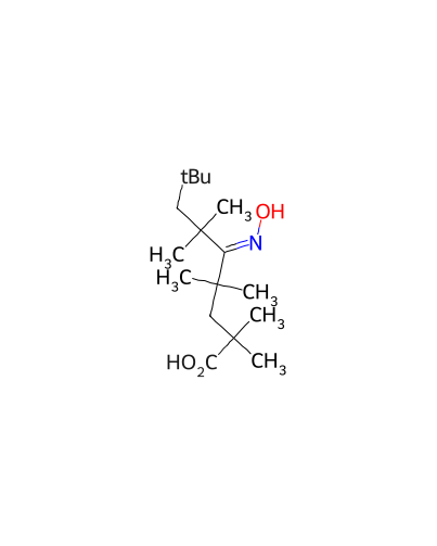 CC(C)(C)CC(C)(C)/C(=N\O)C(C)(C)CC(C)(C)C(=O)O